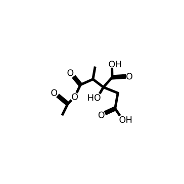 CC(=O)OC(=O)C(C)C(O)(CC(=O)O)C(=O)O